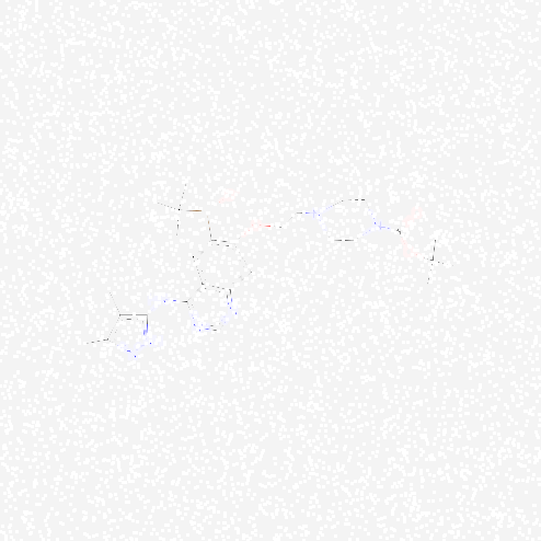 Cc1n[nH]c(Nc2ncnc3cc(OCCN4CCN(C(=O)OC(C)(C)C)CC4)c([S+]([O-])C(C)(C)C)cc23)c1C